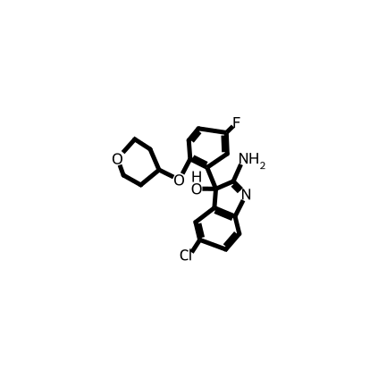 NC1=Nc2ccc(Cl)cc2C1(O)c1cc(F)ccc1OC1CCOCC1